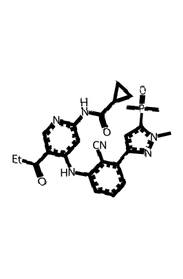 CCC(=O)c1cnc(NC(=O)C2CC2)cc1Nc1cccc(-c2cc(P(C)(C)=O)n(C)n2)c1C#N